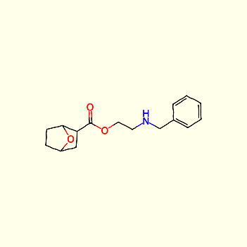 O=C(OCCNCc1ccccc1)C1CC2CCC1O2